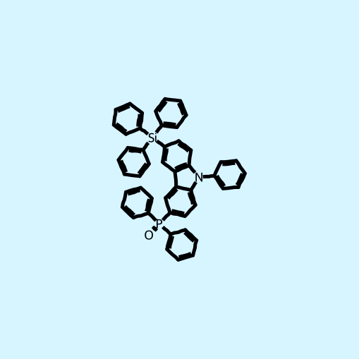 O=P(c1ccccc1)(c1ccccc1)c1ccc2c(c1)c1cc([Si](c3ccccc3)(c3ccccc3)c3ccccc3)ccc1n2-c1ccccc1